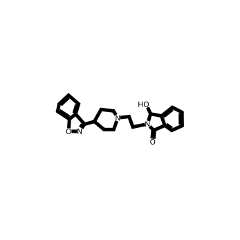 O=C1c2ccccc2C(O)N1CCN1CCC(c2noc3ccccc23)CC1